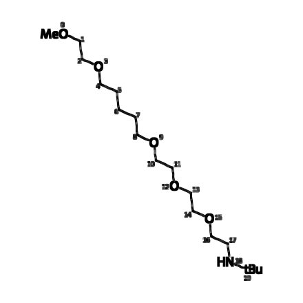 COCCOCCCCCOCCOCCOCCNC(C)(C)C